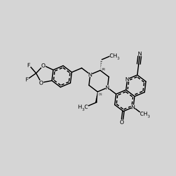 CC[C@@H]1CN(c2cc(=O)n(C)c3ccc(C#N)nc23)[C@@H](CC)CN1Cc1ccc2c(c1)OC(F)(F)O2